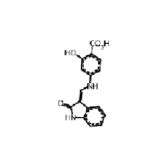 O=C1Nc2ccccc2C1=CNc1ccc(C(=O)O)c(O)c1